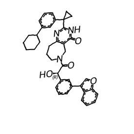 O=C([C@H](O)c1cccc(-c2coc3ccccc23)c1)N1CCCc2nc(C3(c4cccc(C5CCCCC5)c4)CC3)[nH]c(=O)c2C1